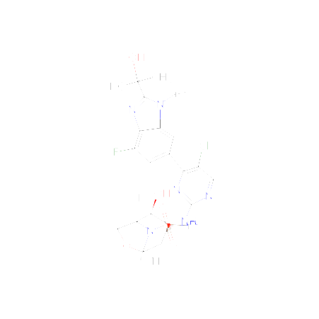 CC(C)n1c(C(C)(C)O)nc2c(F)cc(-c3nc(N[C@@H]4C[C@H]5OC[C@@H]([C@H]4O)N5S(=O)(=O)C(C)C)ncc3Cl)cc21